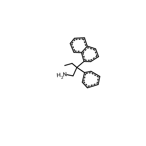 CCC(CN)(c1ccccc1)c1cccc2ccccc12